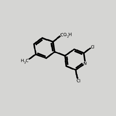 Cc1ccc(C(=O)O)c(-c2cc(Cl)nc(Cl)c2)c1